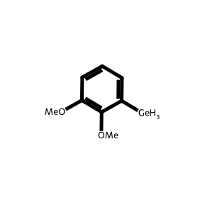 COc1ccc[c]([GeH3])c1OC